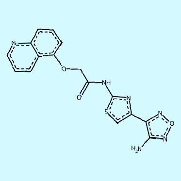 Nc1nonc1-c1csc(NC(=O)COc2cccc3ncccc23)n1